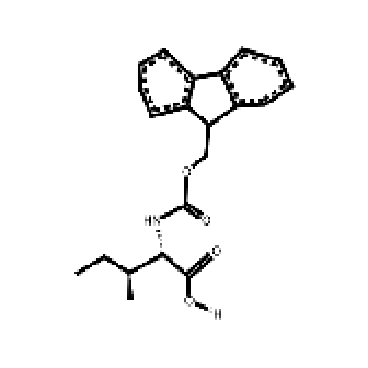 [2H]OC(=O)[C@@H](NC(=O)OCC1c2ccccc2-c2ccccc21)[C@@H](C)CC